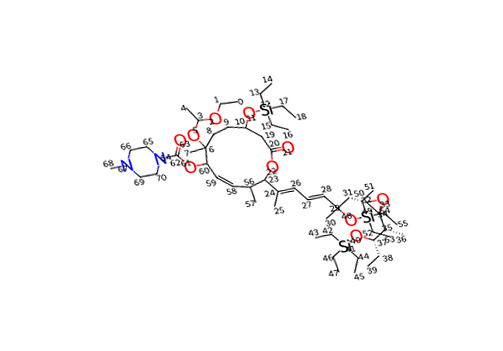 CCOC(C)OC1(C)CCC(O[Si](CC)(CC)CC)CC(=O)OC(/C(C)=C/C=C/C(C)(C[C@@H]2O[C@H]2[C@H](C)[C@H](CC)O[Si](CC)(CC)CC)O[Si](CC)(CC)CC)C(C)C=CC1OC(=O)N1CCN(C)CC1